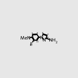 CNc1ccc(-n2ccc(N)n2)cc1F